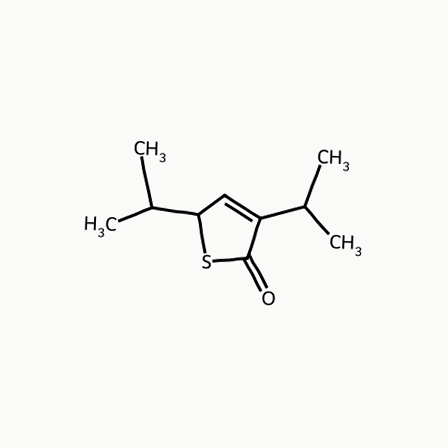 CC(C)C1=CC(C(C)C)SC1=O